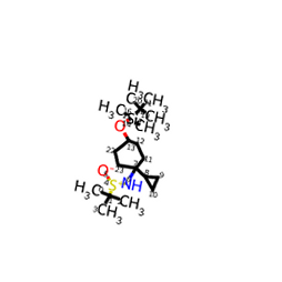 CC(C)(C)[S+]([O-])NC1(C2CC2)CCC(O[Si](C)(C)C(C)(C)C)CC1